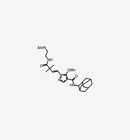 CNCCNC(=O)C(C)(C)/C=C/n1ncc(C(=O)NC2C3CC4CC(C3)CC2C4)c1OCC(C)C